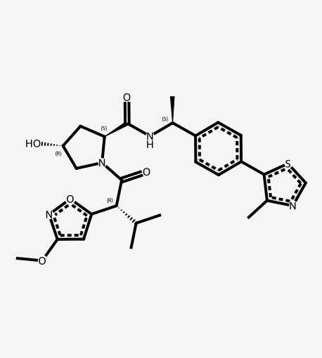 COc1cc([C@H](C(=O)N2C[C@H](O)C[C@H]2C(=O)N[C@@H](C)c2ccc(-c3scnc3C)cc2)C(C)C)on1